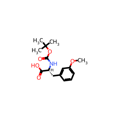 COc1cccc(C[C@@H](NC(=O)OC(C)(C)C)C(=O)O)c1